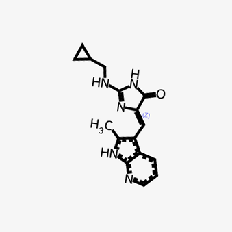 Cc1[nH]c2ncccc2c1/C=C1\N=C(NCC2CC2)NC1=O